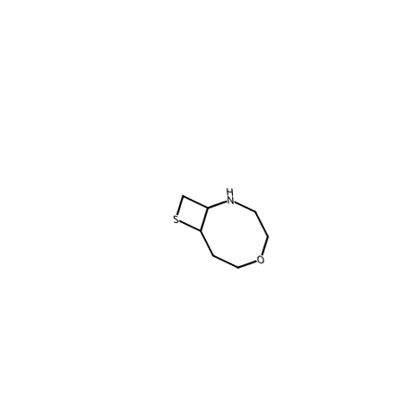 C1COCCC2SCC2N1